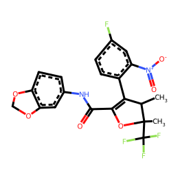 CC1C(c2ccc(F)cc2[N+](=O)[O-])=C(C(=O)Nc2ccc3c(c2)OCO3)OC1(C)C(F)(F)F